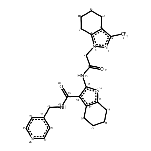 O=C(Cn1nc(C(F)(F)F)c2c1CCCC2)Nc1sc2c(c1C(=O)NCc1ccncc1)CCCC2